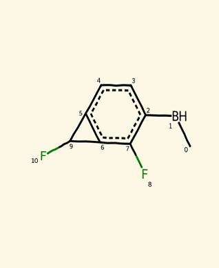 CBc1ccc2c(c1F)C2F